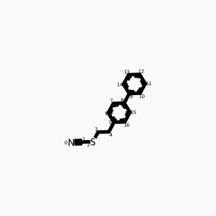 N#CSCCc1ccc(-c2ccccc2)cc1